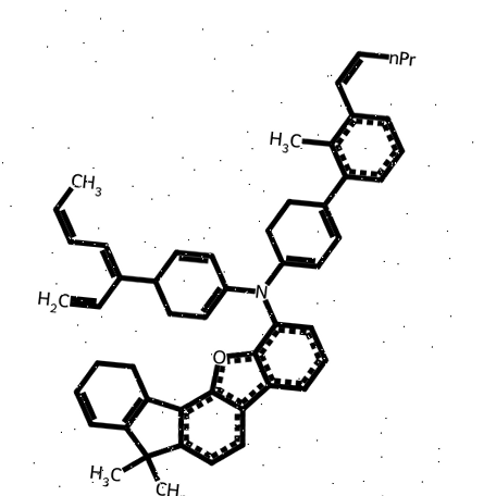 C=C/C(=C\C=C/C)C1C=CC(N(C2=CC=C(c3cccc(/C=C\CCC)c3C)CC2)c2cccc3c2oc2c4c(ccc23)C(C)(C)C2=C4CCC=C2)=CC1